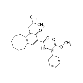 COC(=O)[C@H](NC(=O)c1cc2c(n(CC(C)C)c1=O)CCCCCC2)c1ccccc1